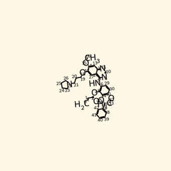 C=CC(=O)Oc1c(Nc2ncnc3cc(OC)c(OCCCN4CCCC4)cc23)ccc(OC)c1OCc1ccccc1